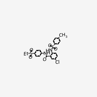 CCS(=O)(=O)c1ccc(NC(=O)c2cc(Cl)ccc2NS(=O)(=O)c2ccc(C)cc2)cc1